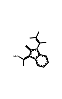 C=c1/c(=C(/C)NC)c2ccccc2n1C(C)=C(C)C